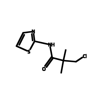 CC(C)(CCl)C(=O)Nc1nccs1